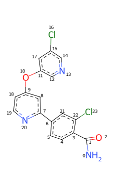 NC(=O)c1ccc(-c2cc(Oc3cncc(Cl)c3)ccn2)cc1Cl